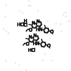 CCOc1cc2c(Nc3ccc(OC)cc3C)ccnc2nc1C.CCOc1cc2c(Nc3ccc(OC)cc3C)ccnc2nc1C.Cl.Cl.Cl